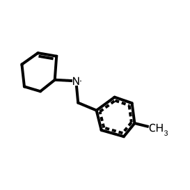 Cc1ccc(C[N]C2C=CCCC2)cc1